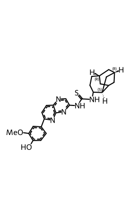 COc1cc(-c2ccc3ncc(NC(=S)NC4CC[C@H]5CC6C[C@@H](C5)C[C@@H]64)nc3n2)ccc1O